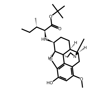 CC[C@H](C)[C@H](N[C@H]1CC[C@H]2[C@H]3Cc4c(OC)cc(O)c5c4[C@@]2(CCN3C)[C@H]1O5)C(=O)OC(C)(C)C